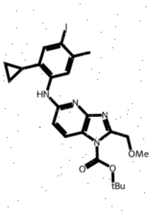 COCc1nc2nc(Nc3cc(C)c(I)cc3C3CC3)ccc2n1C(=O)OC(C)(C)C